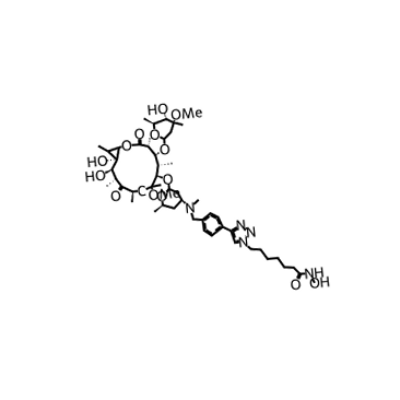 CO[C@]1(C)CC(O[C@@H]2[C@H](C)[C@@H](OC3C[C@@H](N(C)Cc4ccc(-c5cn(CCCCCCC(=O)NO)nn5)cc4)C[C@@H](C)O3)[C@@](C)(OC)C[C@@H](C)C(=O)[C@H](C)[C@@H](O)[C@@]3(O)C(C)C3OC(=O)[C@@H]2C)O[C@@H](C)[C@@H]1O